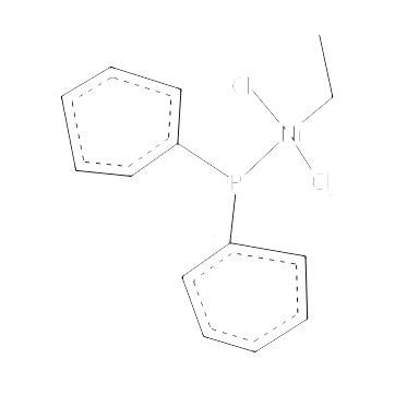 C[CH2][Ni]([Cl])([Cl])[P](c1ccccc1)c1ccccc1